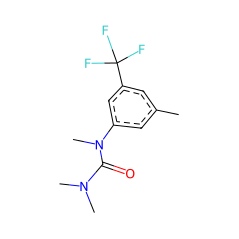 Cc1cc(N(C)C(=O)N(C)C)cc(C(F)(F)F)c1